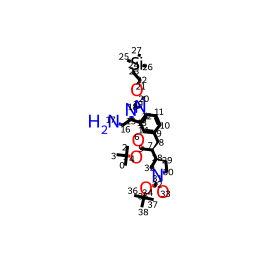 CC(C)(C)OC(=O)[C@@H](Cc1ccc2c(c1)c(CN)nn2COCC[Si](C)(C)C)[C@H]1CCN(C(=O)OC(C)(C)C)C1